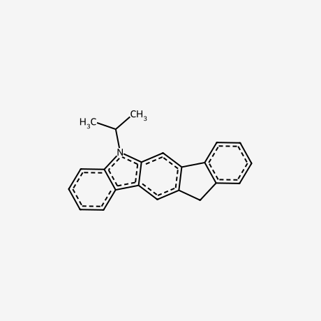 CC(C)n1c2ccccc2c2cc3c(cc21)-c1ccccc1C3